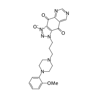 COc1ccccc1N1CCN(CCCn2n[n+]([O-])c3c2C(=O)c2cncnc2C3=O)CC1